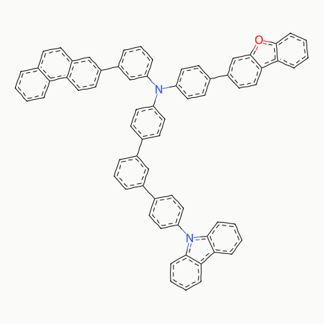 c1cc(-c2ccc(N(c3ccc(-c4ccc5c(c4)oc4ccccc45)cc3)c3cccc(-c4ccc5c(ccc6ccccc65)c4)c3)cc2)cc(-c2ccc(-n3c4ccccc4c4ccccc43)cc2)c1